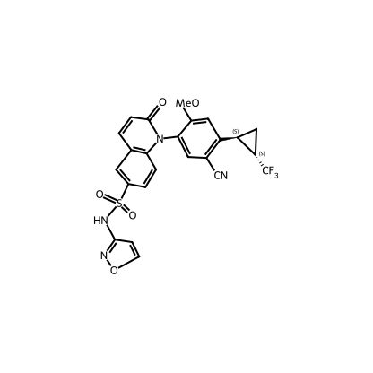 COc1cc([C@H]2C[C@@H]2C(F)(F)F)c(C#N)cc1-n1c(=O)ccc2cc(S(=O)(=O)Nc3ccon3)ccc21